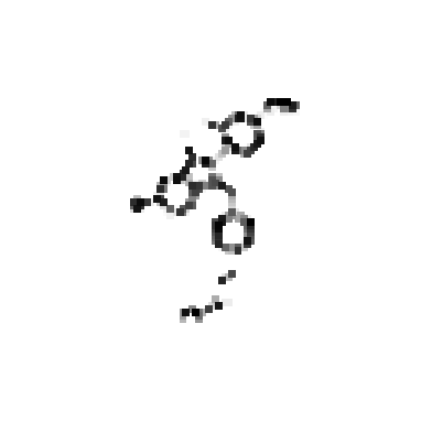 CCCNCCc1ccc(Cn2c(-c3ccc(OC)cc3C)c(F)c3cc(O)ccc32)cc1